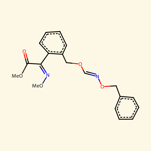 CON=C(C(=O)OC)c1ccccc1COC=NOCc1ccccc1